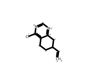 C=CC1CCc2c(Cl)ncnc2C1